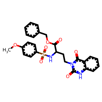 COc1ccc(S(=O)(=O)NC(CCn2c(=O)[nH]c3ccccc3c2=O)C(=O)OCc2ccccc2)cc1